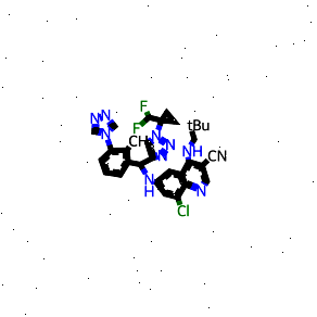 Cc1c(C(Nc2cc(Cl)c3ncc(C#N)c(NCC(C)(C)C)c3c2)c2cn(C3(C(F)F)CC3)nn2)cccc1-n1cnnc1